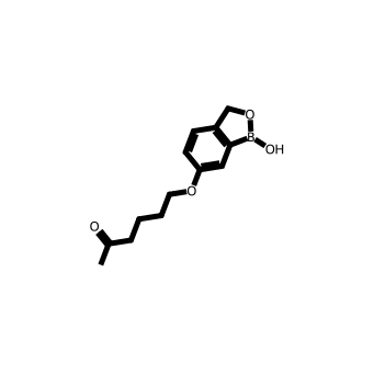 CC(=O)CCCCOc1ccc2c(c1)B(O)OC2